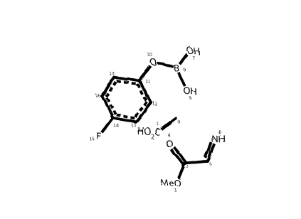 CC(=O)O.COC(=O)C=N.OB(O)Oc1ccc(F)cc1